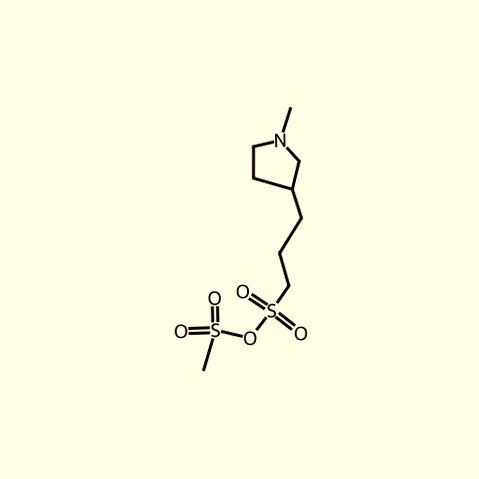 CN1CCC(CCCS(=O)(=O)OS(C)(=O)=O)C1